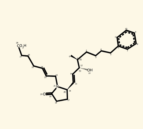 C[C@@H](CCCCc1ccccc1)[C@H](O)C=C[C@H]1CCC(=O)N1CC=CCCCC(=O)O